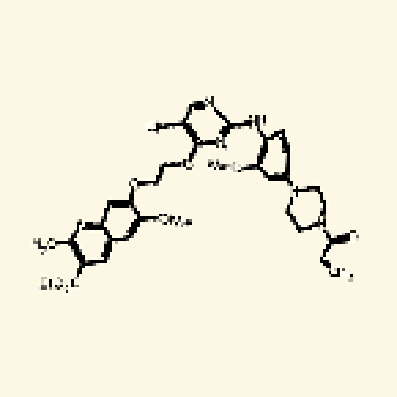 C=CC(=O)N1CCN(c2ccc(Nc3ncc(Cl)c(OCCOc4cc5nc(C)c(C(=O)OCC)cc5cc4OC)n3)c(OC)c2)CC1